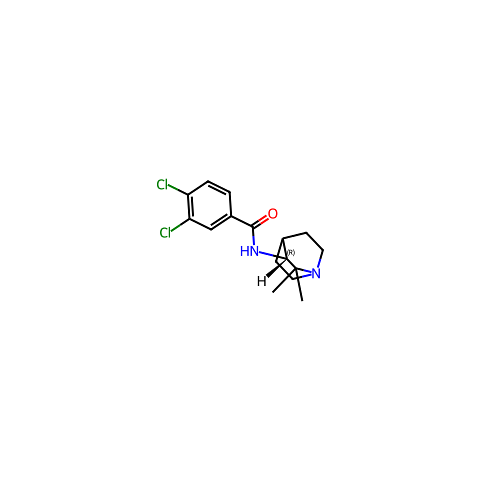 CC1(C)[C@H](NC(=O)c2ccc(Cl)c(Cl)c2)C2CCN1CC2